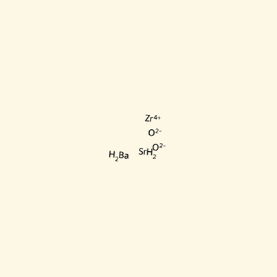 [BaH2].[O-2].[O-2].[SrH2].[Zr+4]